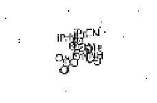 CO[C@@H]1[C@H](OP(OCCC#N)N(C(C)C)C(C)C)[C@@H](CN2C(=O)c3ccccc3C2=O)O[C@H]1n1ccc(=O)[nH]c1=O